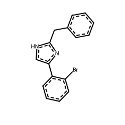 Brc1ccccc1-c1c[nH]c(Cc2ccccc2)n1